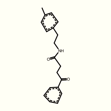 Cc1ccc(CCNC(=O)CCC(=O)c2ccccc2)cc1